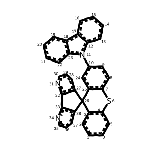 c1ccc2c(c1)Sc1ccc(-n3c4ccccc4c4ccccc43)cc1C21c2cccnc2-c2ncccc21